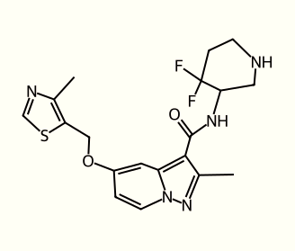 Cc1ncsc1COc1ccn2nc(C)c(C(=O)NC3CNCCC3(F)F)c2c1